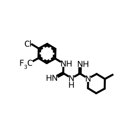 CC1CCCN(C(=N)NC(=N)Nc2ccc(Cl)c(C(F)(F)F)c2)C1